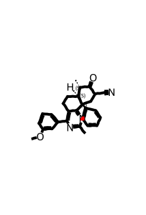 COc1cccc(-c2nc(C)nc3c2CC[C@H]2[C@H](C)C(=O)C(C#N)C[C@]32c2ccccc2)c1